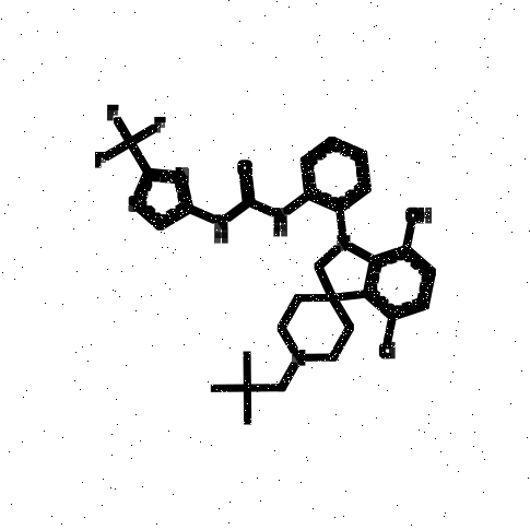 CC(C)(C)CN1CCC2(CC1)CN(c1ccccc1NC(=O)Nc1csc(C(F)(F)F)n1)c1c(O)ccc(Cl)c12